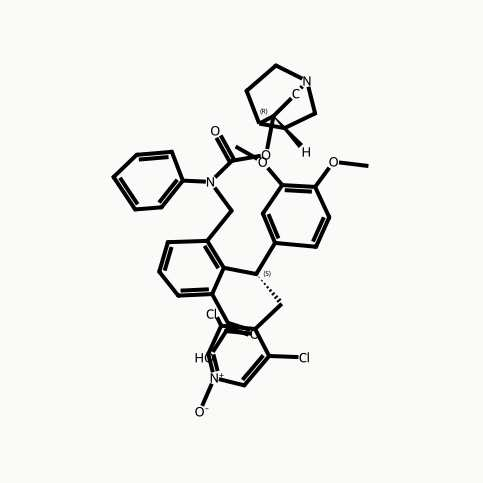 COc1ccc([C@H](Cc2c(Cl)c[n+]([O-])cc2Cl)c2c(CN(C(=O)O[C@H]3CN4CCC3CC4)c3ccccc3)cccc2C(=O)O)cc1OC